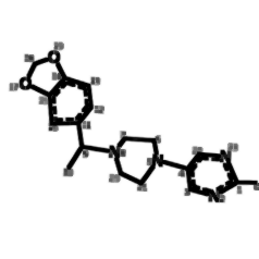 Cc1ncc(N2CCN(C(C)c3ccc4c(c3)OCO4)CC2)cn1